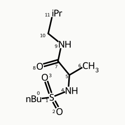 CCCCS(=O)(=O)NC(C)C(=O)NCC(C)C